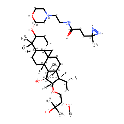 CCO[C@@H]([C@H]1C[C@@H](C)[C@H]2[C@H](O1)[C@H](O)[C@@]1(C)[C@@H]3CC[C@H]4C(C)(C)C(O[C@H]5CN(CCNC(=O)CCC6(C)N=N6)CCO5)CC[C@@]45CC35CC[C@]21C)C(C)(C)O